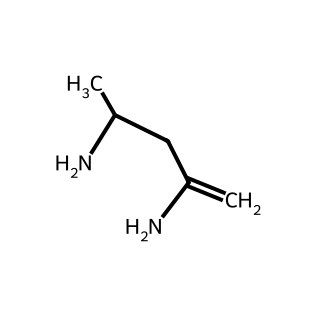 C=C(N)CC(C)N